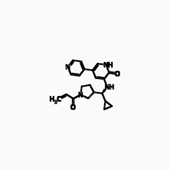 C=CC(=O)N1CCC([C@@H](Nc2cc(-c3ccncc3)c[nH]c2=O)C2CC2)C1